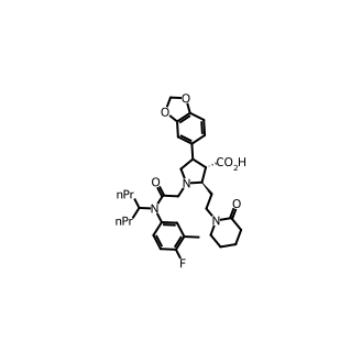 CCCC(CCC)N(C(=O)CN1CC(c2ccc3c(c2)OCO3)[C@H](C(=O)O)[C@H]1CCN1CCCCC1=O)c1ccc(F)c(C)c1